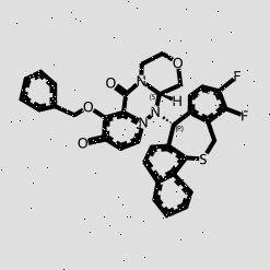 O=C1c2c(OCc3ccccc3)c(=O)ccn2N([C@@H]2c3ccc(F)c(F)c3CSc3c2ccc2ccccc32)[C@H]2COCCN12